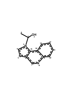 C[C](O)n1cnc2cnc3ccccc3c21